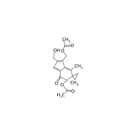 CC(=O)OCC1=C(CO)C=C2C(=O)[C@](C)(OC(C)=O)C3(CC3)C(C)=C21